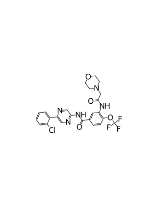 O=C(CN1CCOCC1)Nc1cc(C(=O)Nc2cnc(-c3ccccc3Cl)cn2)ccc1OC(F)(F)F